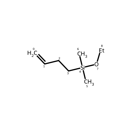 C=CCC[Si](C)(C)OCC